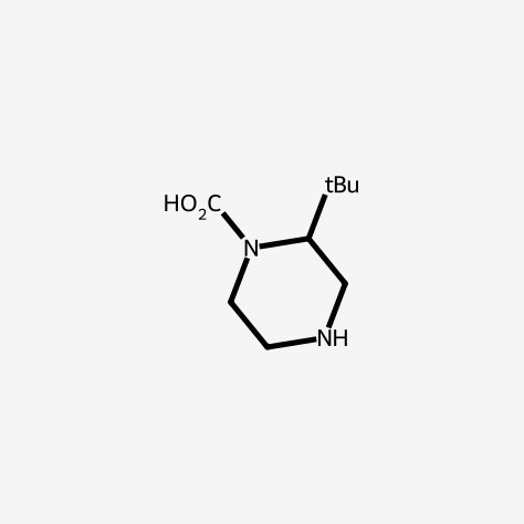 CC(C)(C)C1CNCCN1C(=O)O